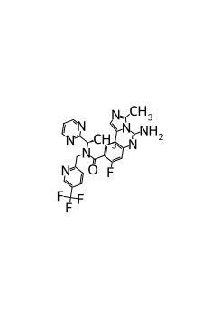 Cc1ncc2c3cc(C(=O)N(Cc4ccc(C(F)(F)F)cn4)[C@H](C)c4ncccn4)c(F)cc3nc(N)n12